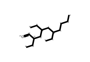 CCCCC(CC)CC(CC)CC(C=O)CC